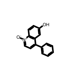 [O-][n+]1ccc(-c2ccccc2)c2cc(O)ccc21